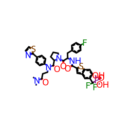 CN(C)C(=O)CCN(C(=O)C1CCCN1C(=O)C(Cc1ccc(F)cc1)NC(=O)c1cc2cc(C(F)(F)P(=O)(O)O)ccc2s1)c1ccc(-c2nccs2)cc1